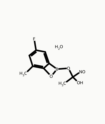 Cc1cc(F)cc2c1OB2OC(C)(O)N=O.O